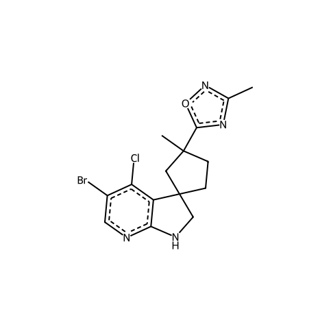 Cc1noc(C2(C)CCC3(CNc4ncc(Br)c(Cl)c43)C2)n1